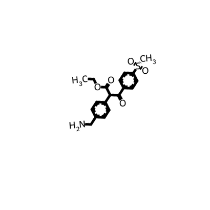 CCOC(=O)C(C(=O)c1ccc(S(C)(=O)=O)cc1)c1ccc(CN)cc1